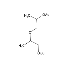 CC(=O)OC(C)COC(C)COCC(C)C